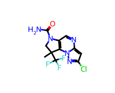 CC1(C(F)(F)F)CN(C(N)=O)c2cnc3cc(Cl)nn3c21